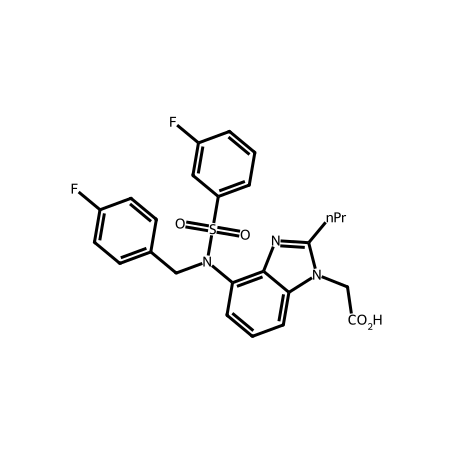 CCCc1nc2c(N(Cc3ccc(F)cc3)S(=O)(=O)c3cccc(F)c3)cccc2n1CC(=O)O